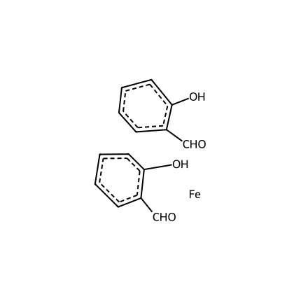 O=Cc1ccccc1O.O=Cc1ccccc1O.[Fe]